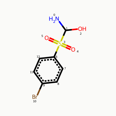 NC(O)S(=O)(=O)c1ccc(Br)cc1